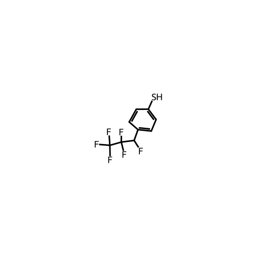 FC(c1ccc(S)cc1)C(F)(F)C(F)(F)F